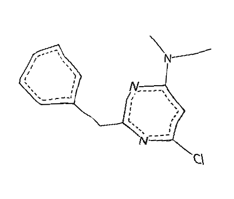 CN(C)c1cc(Cl)nc(Cc2ccccc2)n1